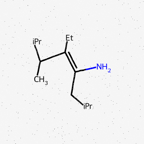 CC/C(=C(\N)CC(C)C)C(C)C(C)C